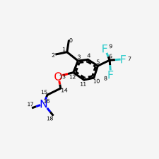 CC(C)c1cc(C(F)(F)F)ccc1OCCN(C)C